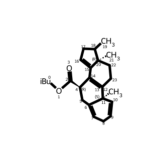 CCC(C)OC(=O)[C@@H]1CC2=CCC=C[C@]2(C)C2=C1C1=CCC(C)[C@@]1(C)CC2